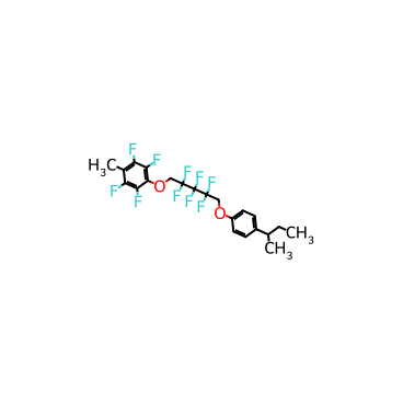 CCC(C)c1ccc(OCC(F)(F)C(F)(F)C(F)(F)COc2c(F)c(F)c(C)c(F)c2F)cc1